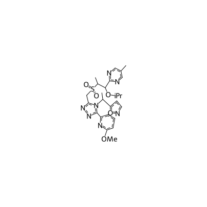 COc1cccc(-c2nnc(CS(=O)(=O)C(C)C(OC(C)C)c3ncc(C)cn3)n2C(C)c2ccno2)n1